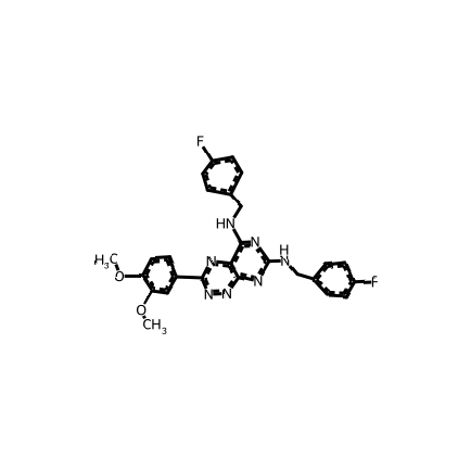 COc1ccc(-c2nnc3nc(NCc4ccc(F)cc4)nc(NCc4ccc(F)cc4)c3n2)cc1OC